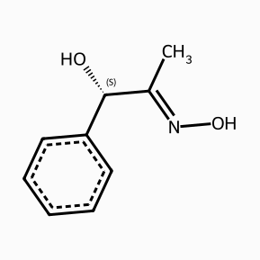 CC(=NO)[C@@H](O)c1ccccc1